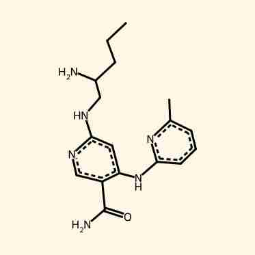 CCCC(N)CNc1cc(Nc2cccc(C)n2)c(C(N)=O)cn1